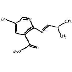 COC(=O)c1cc(Br)cnc1/N=C/N(C)C